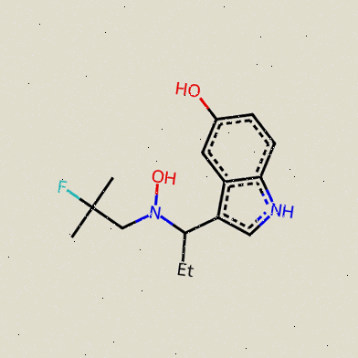 CCC(c1c[nH]c2ccc(O)cc12)N(O)CC(C)(C)F